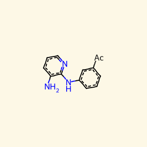 CC(=O)c1cccc(Nc2ncccc2N)c1